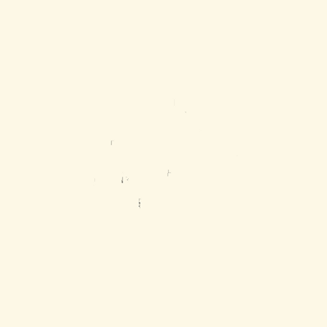 F[B-](F)(F)F.[IH2+].c1ccccc1